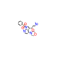 CN(C)C=CC(=O)c1cn(S(=O)(=O)c2ccccc2)c2nccc(N3CCOCC3)c12